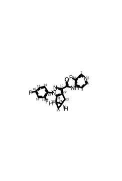 O=C(Nc1ccncc1F)c1nn(-c2ccc(F)cc2F)c2c1C[C@H]1C[C@@H]21